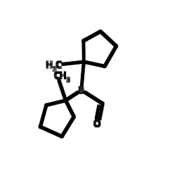 CC1(B(C=O)C2(C)CCCC2)CCCC1